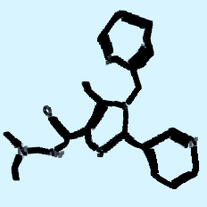 CC1=C(C(=O)NN(C)C)SC(c2cccnc2)N1Cc1ccccn1